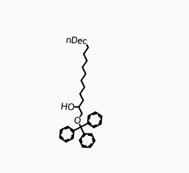 CCCCCCCCCCCCCCCCCCCC(O)COC(c1ccccc1)(c1ccccc1)c1ccccc1